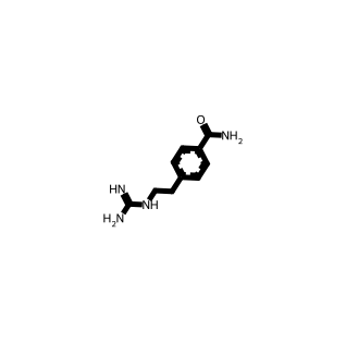 N=C(N)NCCc1ccc(C(N)=O)cc1